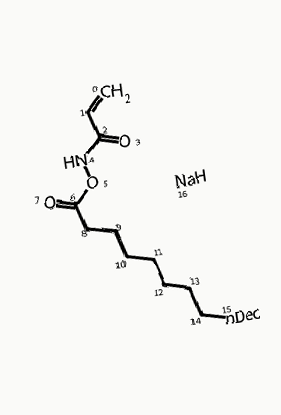 C=CC(=O)NOC(=O)CCCCCCCCCCCCCCCCC.[NaH]